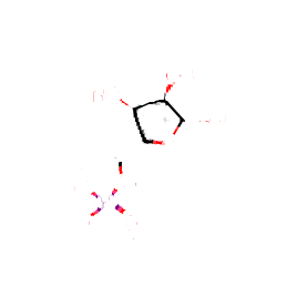 O=P(O)(O)OC[C@H]1O[C@@H](O)[C@H](O)[C@@H]1O